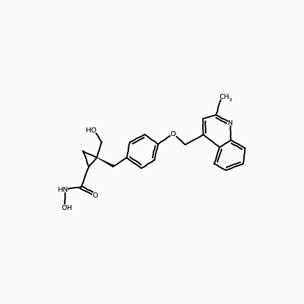 Cc1cc(COc2ccc(C[C@]3(CO)CC3C(=O)NO)cc2)c2ccccc2n1